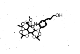 COC(=O)C1OC(Oc2ccc(C=CCO)cc2N)C(OC(C)=O)C(OC(C)=O)C1OC(C)=O